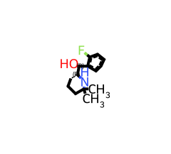 CC1(C)CCC[C@H]([C@H](O)c2ccccc2F)N1